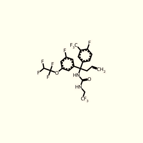 C=CCC(NC(=O)NCC(F)(F)F)(c1cc(F)cc(OC(F)(F)C(F)F)c1)c1ccc(F)c(C(F)(F)F)c1